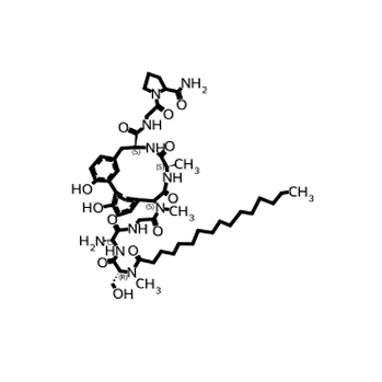 CCCCCCCCCCCCCCCC(=O)N(C)[C@H](CO)C(=O)N[C@H](N)C(=O)NCC(=O)N(C)[C@@H]1C(=O)N[C@@H](C)C(=O)N[C@H](C(=O)NCC(=O)N2CCCC2C(N)=O)Cc2ccc(O)c(c2)-c2cc1ccc2O